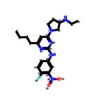 CCCCc1cc(N2CCC(NCC)C2)nc(Nc2ccc(F)c([N+](=O)[O-])c2)n1